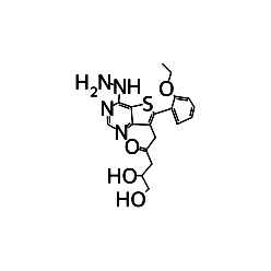 CCOc1ccccc1-c1sc2c(NN)ncnc2c1CC(=O)CC(O)CO